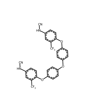 N#CNc1ccc(Oc2ccc(Oc3ccc(Oc4ccc(NC#N)cc4C(F)(F)F)cc3)cc2)c(C(F)(F)F)c1